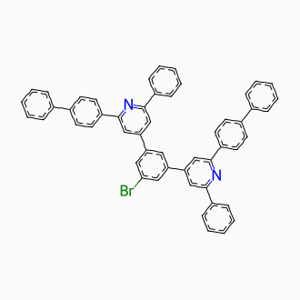 Brc1cc(-c2cc(-c3ccccc3)nc(-c3ccc(-c4ccccc4)cc3)c2)cc(-c2cc(-c3ccccc3)nc(-c3ccc(-c4ccccc4)cc3)c2)c1